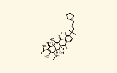 C[C@@H]1c2ccc(C(C)(C)CCCN3CCCC3)c(O)c2C(=O)C2=C(O)[C@@]3(O)C(=O)C(C(N)=O)=C(O)[C@H](N(C)C)[C@H]3[C@@H](O)[C@H]21